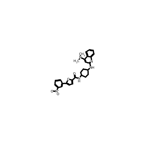 CN(C)c1cc(NC2CCC(NC(=O)c3ccc(-c4cccc([N+](=O)[O-])c4)o3)CC2)nc2ccccc12